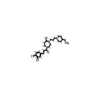 COCC1CCN(CCCN2CCN(C(=O)/C=C/c3ccc(Cl)c(Cl)c3)CCC2=O)CC1